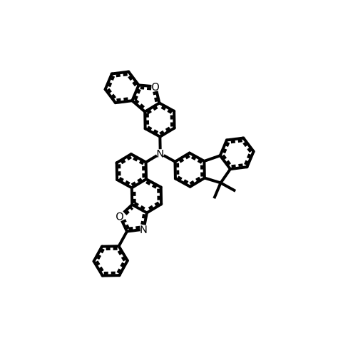 CC1(C)c2ccccc2-c2cc(N(c3ccc4oc5ccccc5c4c3)c3cccc4c3ccc3nc(-c5ccccc5)oc34)ccc21